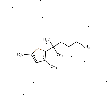 CCCCC(C)(C)c1sc(C)cc1C